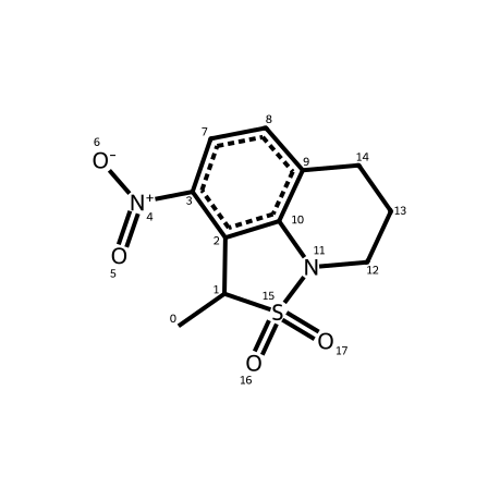 CC1c2c([N+](=O)[O-])ccc3c2N(CCC3)S1(=O)=O